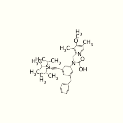 COc1c(C)cnc(CN(C(=O)O)c2cc(C#C[Si](C(C)C)(C(C)C)C(C)C)cc(Cc3ccccc3)c2)c1C